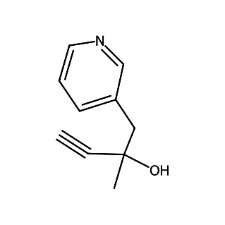 C#CC(C)(O)Cc1cccnc1